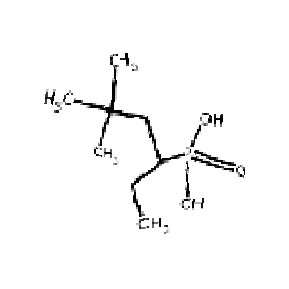 CCC(CC(C)(C)C)P(=O)(O)O